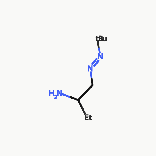 CCC(N)CN=NC(C)(C)C